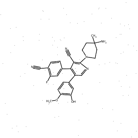 COc1ccc(-c2cnc(N3CCC(C)(N)CC3)c(C#N)c2-c2ccc(C#N)c(F)c2)cc1O